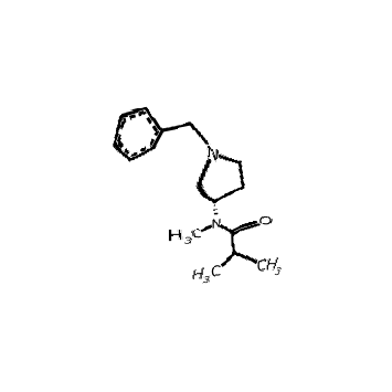 CC(C)C(=O)N(C)[C@H]1CCN(Cc2ccccc2)C1